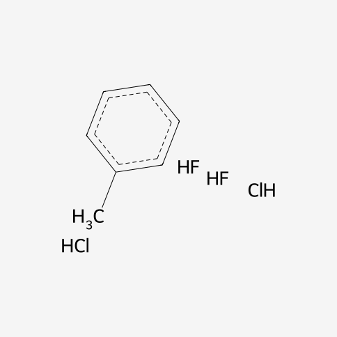 Cc1ccccc1.Cl.Cl.F.F